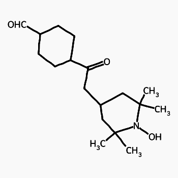 CC1(C)CC(CC(=O)C2CCC(C=O)CC2)CC(C)(C)N1O